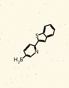 Bc1ccc(-c2cc3ccccc3s2)nc1